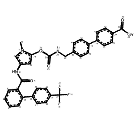 Cn1cc(NC(=O)c2ccccc2-c2ccc(C(F)(F)F)cc2)cc1OC(=O)NCc1ccc(-c2ccc(C(=O)O)cc2)cc1